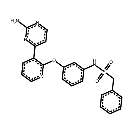 Nc1nccc(-c2cccnc2Oc2cccc(NS(=O)(=O)Cc3ccccc3)c2)n1